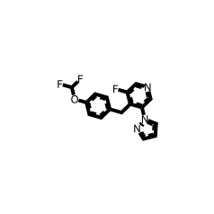 Fc1cncc(-n2cccn2)c1Cc1ccc(OC(F)F)cc1